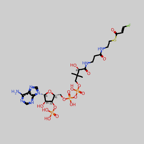 CC(C)(COP(=O)(O)OP(=O)(O)OC[C@H]1O[C@@H](n2cnc3c(N)ncnc32)[C@H](O)[C@@H]1OP(=O)(O)O)[C@@H](O)C(=O)NCCC(=O)NCCSC(=O)C=CF